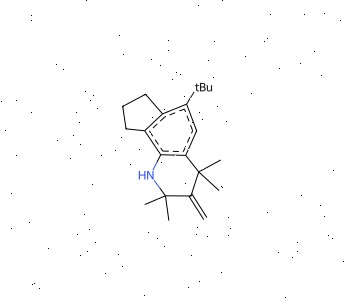 C=C1C(C)(C)Nc2c(cc(C(C)(C)C)c3c2CCC3)C1(C)C